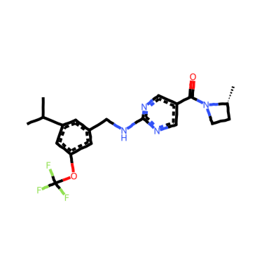 CC(C)c1cc(CNc2ncc(C(=O)N3CC[C@H]3C)cn2)cc(OC(F)(F)F)c1